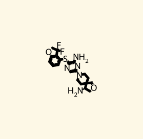 Nc1nc(N2CCC3(CC2)COC[C@H]3N)cnc1Sc1cccc2c1C(F)(F)CO2